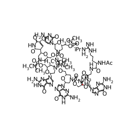 CC(=O)NC(CCCNC(=N)N)C(=O)NCC(=O)N1CC(COP(=O)(N(C)C)N2CC(COP(=O)(N(C)C)N3CC(COP(=O)(N(C)C)N4CC(COP(=O)(N(C)C)N5CC(COP(=O)(C(C)C)N(C)C)OC(n6ccc(N)nc6=O)C5)OC(C5C=C(C)C(=O)NC5=O)C4)OC(n4cnc5c(=O)[nH]c(N)nc54)C3)OC(n3cnc4c(=O)[nH]c(N)nc43)C2)OC(n2cnc3c(=O)[nH]c(N)nc32)C1